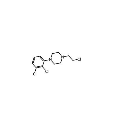 ClCCN1CCN(c2cccc(Cl)c2Cl)CC1